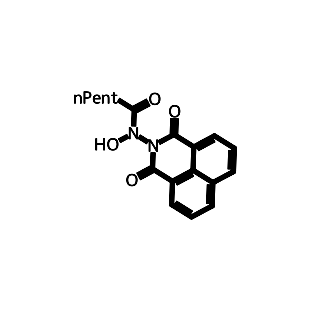 CCCCCC(=O)N(O)N1C(=O)c2cccc3cccc(c23)C1=O